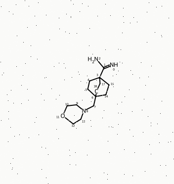 N=C(N)C12CCC(CN3CCOCC3)(CC1)CC2